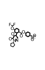 O=C(Oc1ccc([N+](=O)[O-])cc1)c1ccc(OC(F)F)c2oc3c(=O)n(C4CCCC4)ncc3c12